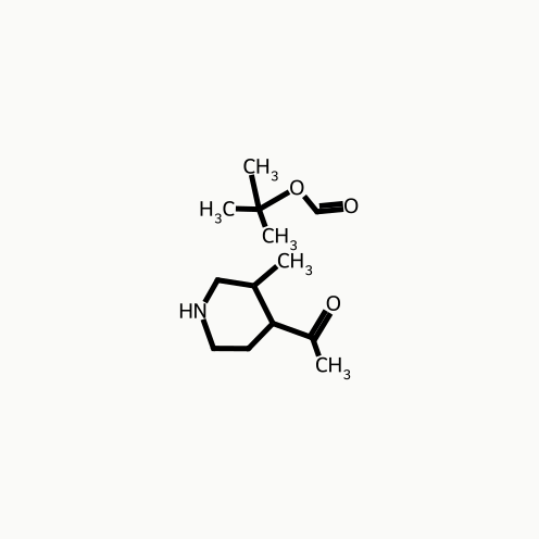 CC(=O)C1CCNCC1C.CC(C)(C)OC=O